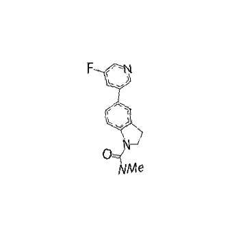 CNC(=O)N1CCc2cc(-c3cncc(F)c3)ccc21